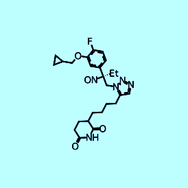 CC[C@](Cn1nncc1CCCCC1CCC(=O)NC1=O)(N=O)c1ccc(F)c(OCC2CC2)c1